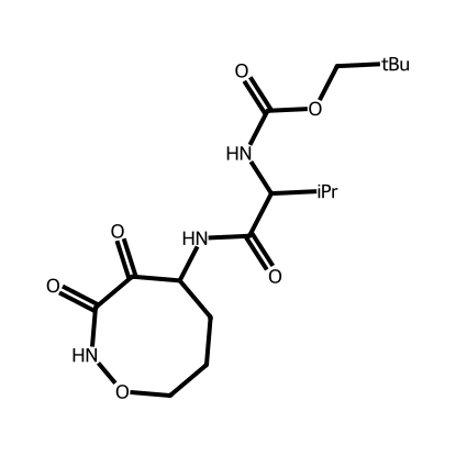 CC(C)C(NC(=O)OCC(C)(C)C)C(=O)NC1CCCONC(=O)C1=O